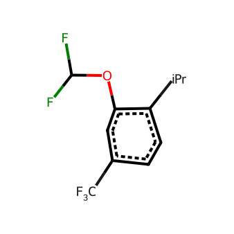 CC(C)c1ccc(C(F)(F)F)cc1OC(F)F